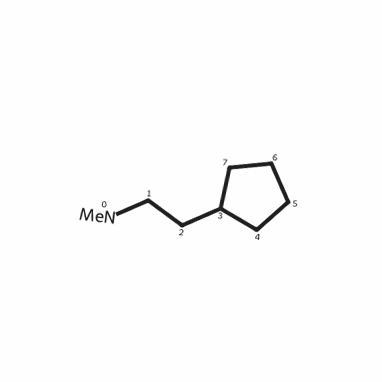 [CH2]NCCC1CCCC1